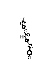 O=C(CO[C@H]1C[C@H](OC(F)(F)F)C1)NC12CC(n3cnc(-c4ccc(Cl)cc4)c3)(C1)C2